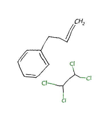 C=CCc1ccccc1.ClC(Cl)C(Cl)Cl